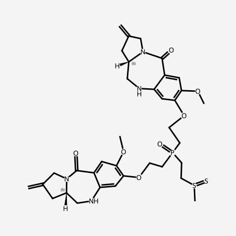 C=C1C[C@H]2CNc3cc(OCCP(=O)(CCOc4cc5c(cc4OC)C(=O)N4CC(=C)C[C@H]4CN5)CCS(C)=S)c(OC)cc3C(=O)N2C1